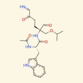 CC(=O)N[C@@H](Cc1c[nH]c2ccccc12)C(=O)N[C@@](C=O)(CCC(=O)C=N)COC(C)C